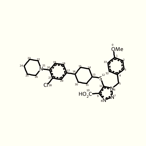 COc1ccc(Cn2nnc(C(=O)O)c2SC2CCC(c3ccc(N4CCCCC4)c(Cl)c3)CC2)cc1